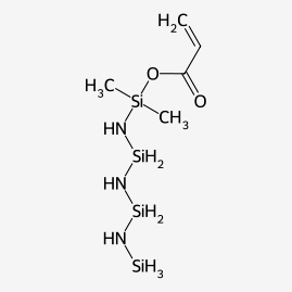 C=CC(=O)O[Si](C)(C)N[SiH2]N[SiH2]N[SiH3]